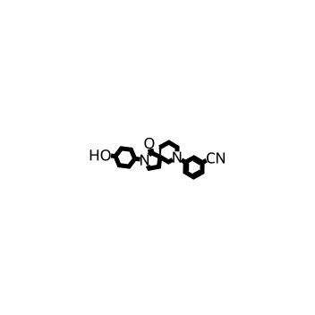 N#Cc1cccc(N2CCC[C@]3(CCN(C4CCC(O)CC4)C3=O)C2)c1